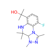 CC1=NN(C)C2N1c1c(F)ccc(C(C)(C)O)c1NC2(C)C